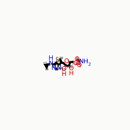 NS(=O)(=O)OCC1OC(c2csc3c(NC4CC4)ncnc23)C(O)C1O